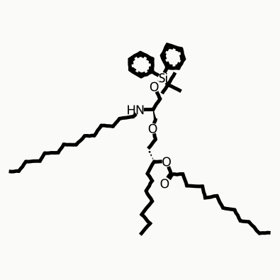 CCCCCCCCCCCCCCN[C@H](COCC[C@@H](CCCCCCC)OC(=O)CCCCCCCCCCC)CO[Si](c1ccccc1)(c1ccccc1)C(C)(C)C